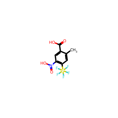 Cc1cc(S(F)(F)(F)(F)F)c([N+](=O)O)cc1C(=O)O